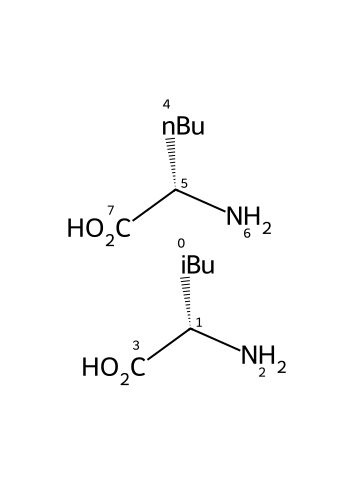 CCC(C)[C@H](N)C(=O)O.CCCC[C@H](N)C(=O)O